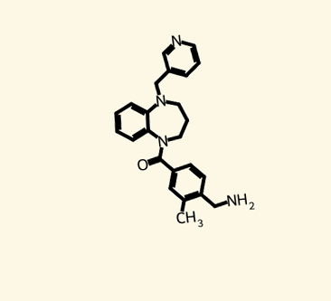 Cc1cc(C(=O)N2CCCN(Cc3cccnc3)c3ccccc32)ccc1CN